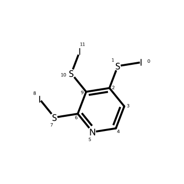 ISc1ccnc(SI)c1SI